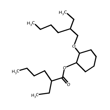 CCCCC(CC)COC1CCCCC1OC(=O)C(CC)CCCC